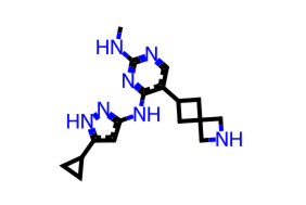 CNc1ncc(C2CC3(CNC3)C2)c(Nc2cc(C3CC3)[nH]n2)n1